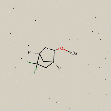 CCCCO[C@H]1C[C@H]2C[C@@H]1CC2(F)F